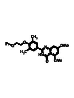 COc1cc(OC)c2c(=O)[nH]c(-c3cc(C)c(OCCOC(C)C)c(C)c3)nc2c1